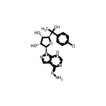 CC(O)(c1ccc(Cl)cc1)[C@H]1O[C@@H](n2ncc3c(=NN)nc[nH]c32)[C@H](O)[C@@H]1O